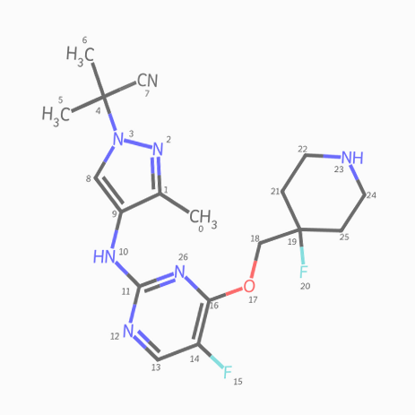 Cc1nn(C(C)(C)C#N)cc1Nc1ncc(F)c(OCC2(F)CCNCC2)n1